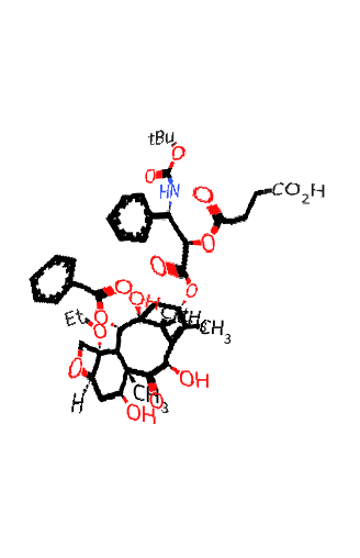 CCO[C@@]12CO[C@@H]1C[C@H](O)[C@@]1(C)C(=O)[C@H](O)C3=C(C)[C@@H](OC(=O)[C@H](OC(=O)CCC(=O)O)[C@@H](NC(=O)OC(C)(C)C)c4ccccc4)C[C@@](O)([C@@H](OC(=O)c4ccccc4)C12)C3(C)C